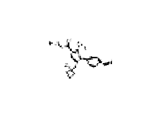 Cc1c(C(=O)CN)cc(CC2(Cl)CCC2)n1-c1ccc(C#N)cc1